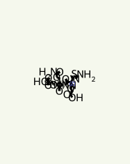 NC(=O)OC[C@H]1[C@H](NC(=O)/C(=N\OCC(=O)O)c2csc(N)n2)C(=O)N1OCS(=O)(=O)O